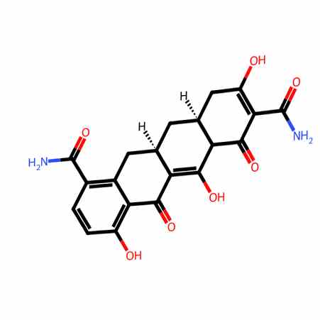 NC(=O)C1=C(O)C[C@@H]2C[C@@H]3Cc4c(C(N)=O)ccc(O)c4C(=O)C3=C(O)C2C1=O